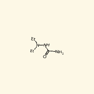 CCN(CC)NC(N)=O